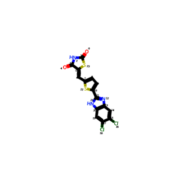 O=C1NC(=O)C(=Cc2ccc(-c3nc4cc(Cl)c(Cl)cc4[nH]3)s2)S1